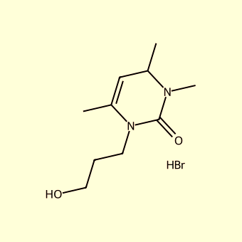 Br.CC1=CC(C)N(C)C(=O)N1CCCO